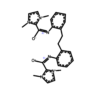 Cn1cc[n+](C)c1/C([O-])=N\c1ccccc1CCc1ccccc1/N=C(/[O-])c1n(C)cc[n+]1C